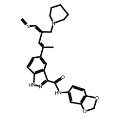 C=N/C=C(\C=C(/C)c1ccc2[nH]nc(C(=O)Nc3ccc4c(c3)OCO4)c2c1)CN1CCCCC1